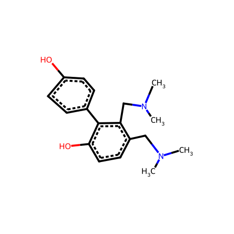 CN(C)Cc1ccc(O)c(-c2ccc(O)cc2)c1CN(C)C